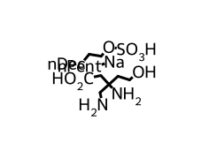 CCCCCCCCCCCCOS(=O)(=O)O.CCCC[CH2][Na].NCC(N)(CCO)CC(=O)O